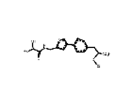 CCCCCCC(C)C(=O)NCc1cc(-c2ccc(CC(OCC)C(=O)O)cc2)cs1